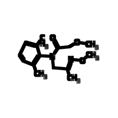 COCC(=O)N(CC(C)=NOC)c1c(C)cccc1C